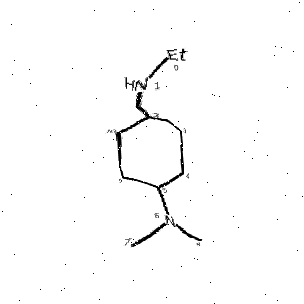 CCNC1CCC(N(C)C)CC1